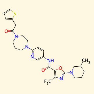 CC1CCCN(c2nc(C(F)(F)F)c(C(=O)Nc3ccc(N4CCCN(C(=O)Cc5cccs5)CC4)nc3)o2)C1